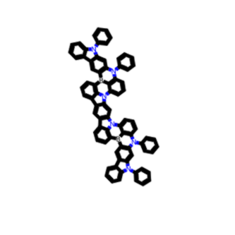 c1ccc(N2c3cc4c(cc3B3c5c2cccc5-n2c5cc6c(cc5c5cccc3c52)c2cccc3c2n6-c2cccc5c2B3c2cc3c6ccccc6n(-c6ccccc6)c3cc2N5c2ccccc2)c2ccccc2n4-c2ccccc2)cc1